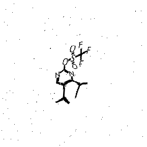 C=C(C)c1cnc(OS(=O)(=O)C(F)(F)F)nc1C(C)C